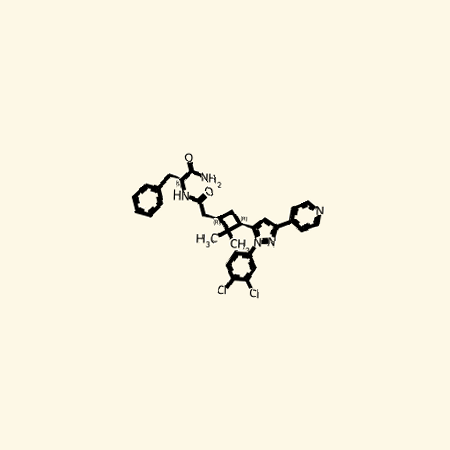 CC1(C)[C@@H](CC(=O)N[C@@H](Cc2ccccc2)C(N)=O)C[C@H]1c1cc(-c2ccncc2)nn1-c1ccc(Cl)c(Cl)c1